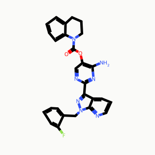 Nc1nc(-c2nn(Cc3ccccc3F)c3ncccc23)ncc1OC(=O)N1CCCc2ccccc21